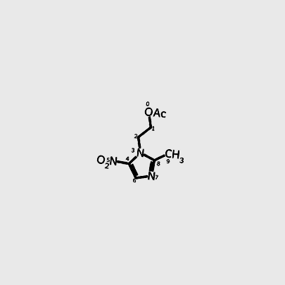 [CH2]C(=O)OCCn1c([N+](=O)[O-])cnc1C